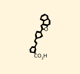 O=C(O)c1cccc(/C=C/c2ccc(-c3cc4c(ccc5ccccc54)o3)cc2)c1